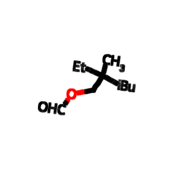 CCC(C)C(C)(CC)COC=O